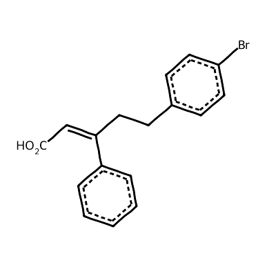 O=C(O)C=C(CCc1ccc(Br)cc1)c1ccccc1